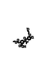 CCOC(=O)C[C@H]1CC[C@@H](N(C(=O)c2ccc(OC)c(OCCCOC)c2)C(C)C)CN1C(=O)O